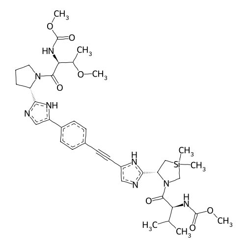 COC(=O)N[C@H](C(=O)N1C[Si](C)(C)C[C@H]1c1ncc(C#Cc2ccc(-c3cnc([C@@H]4CCCN4C(=O)[C@@H](NC(=O)OC)C(C)OC)[nH]3)cc2)[nH]1)C(C)C